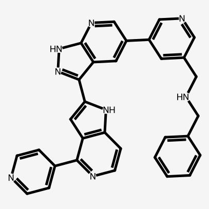 c1ccc(CNCc2cncc(-c3cnc4[nH]nc(-c5cc6c(-c7ccncc7)nccc6[nH]5)c4c3)c2)cc1